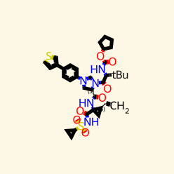 C=C[C@@H]1C[C@]1(NC(=O)[C@@H]1CN(c2ccc(-c3ccsc3)cc2)CN1C(=O)C(NC(=O)OC1CCCC1)C(C)(C)C)C(=O)NS(=O)(=O)C1CC1